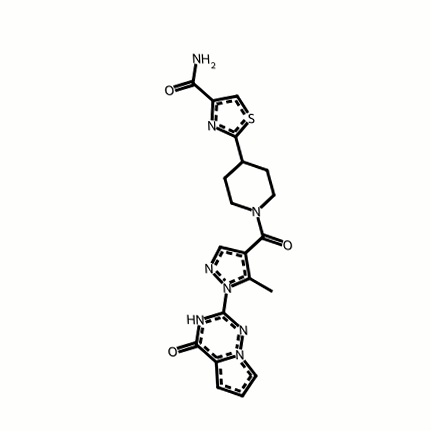 Cc1c(C(=O)N2CCC(c3nc(C(N)=O)cs3)CC2)cnn1-c1nn2cccc2c(=O)[nH]1